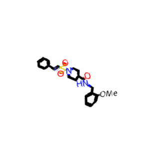 COc1ccccc1CNC(=O)C1CCN(S(=O)(=O)/C=C/c2ccccc2)CC1